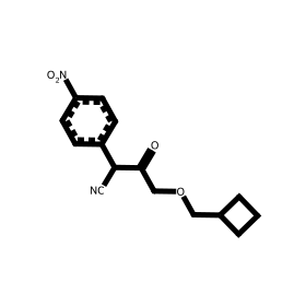 N#CC(C(=O)COCC1CCC1)c1ccc([N+](=O)[O-])cc1